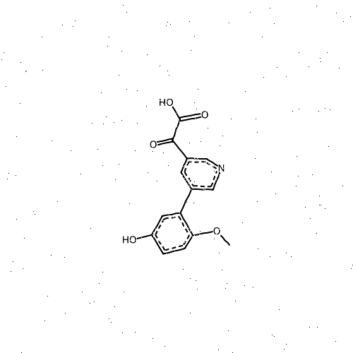 COc1ccc(O)cc1-c1cncc(C(=O)C(=O)O)c1